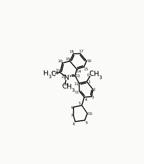 Cc1ccc(C2CCCCC2)cc1-c1c2ccccc2cc(C)[n+]1C